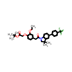 CCOc1cc(CC(=O)N2CC(C)(C)c3cc(-c4ccc(C(F)(F)F)cc4)ccc32)ccc1OCC(=O)OC(C)(C)C